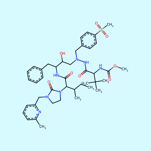 CCC(C)C(C(=O)NC(Cc1ccccc1)C(O)CN(Cc1ccc(S(C)(=O)=O)cc1)NC(=O)C(NC(=O)OC)C(C)(C)C)N1CCN(Cc2cccc(C)n2)C1=O